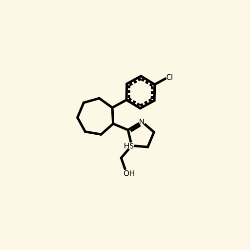 OC[SH]1CCN=C1C1CCCCCC1c1ccc(Cl)cc1